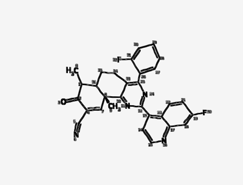 CC1C(=O)C(C#N)=C[C@@]2(C)c3nc(-c4ccnc5cc(F)ccc45)nc(-c4ccccc4F)c3CCC12